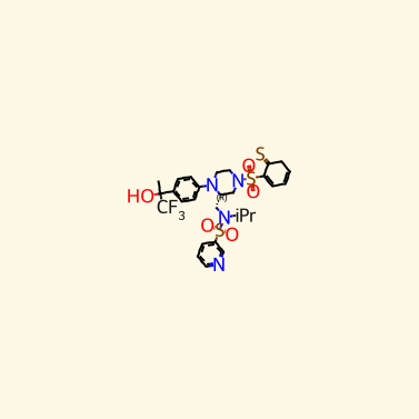 CC(C)N(C[C@H]1CN(S(=O)(=O)C2=CC=CCC2=S)CCN1c1ccc(C(C)(O)C(F)(F)F)cc1)S(=O)(=O)c1cccnc1